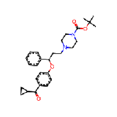 CC(C)(C)OC(=O)N1CCN(CC[C@@H](Oc2ccc(C(=O)C3CC3)cc2)c2ccccc2)CC1